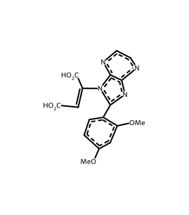 COc1ccc(-c2nc3nccnc3n2C(=CC(=O)O)C(=O)O)c(OC)c1